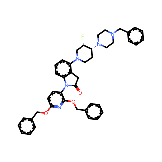 O=C1Cc2c(N3CC[C@@H](N4CCN(Cc5ccccc5)CC4)[C@@H](F)C3)cccc2N1c1ccc(OCc2ccccc2)nc1OCc1ccccc1